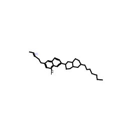 C/C=C/CCc1cc(F)c2cc(C3CCC4CC(CCCCCCC)CCC4C3)ccc2c1